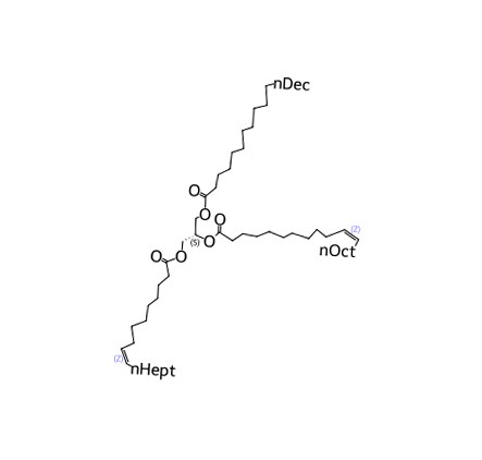 CCCCCCC/C=C\CCCCCCCC(=O)OC[C@H](COC(=O)CCCCCCCCCCCCCCCCCCCC)OC(=O)CCCCCCCCC/C=C\CCCCCCCC